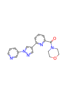 O=C(c1cccc(-c2cnn(-c3cccnc3)c2)n1)N1CCOCC1